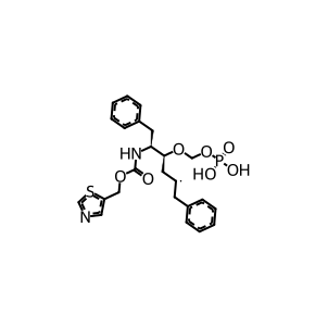 O=C(N[C@@H](Cc1ccccc1)[C@H](C[CH]Cc1ccccc1)OCOP(=O)(O)O)OCc1cncs1